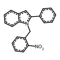 O=[N+]([O-])c1ccccc1Cn1c(-c2ccccc2)cc2ccccc21